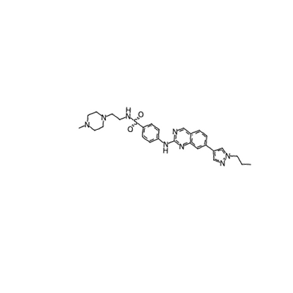 CCCn1cc(-c2ccc3cnc(Nc4ccc(S(=O)(=O)NCCN5CCN(C)CC5)cc4)nc3c2)cn1